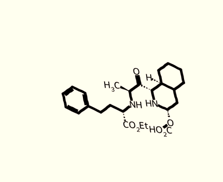 CCOC(=O)[C@H](CCc1ccccc1)N[C@@H](C)C(=O)[C@H]1N[C@@H](OC(=O)O)CC2CCCC[C@@H]21